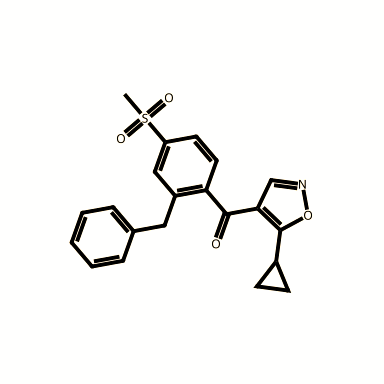 CS(=O)(=O)c1ccc(C(=O)c2cnoc2C2CC2)c(Cc2ccccc2)c1